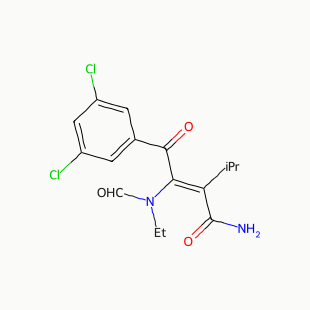 CCN(C=O)/C(C(=O)c1cc(Cl)cc(Cl)c1)=C(\C(N)=O)C(C)C